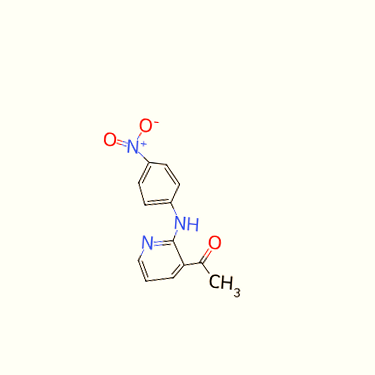 CC(=O)c1cccnc1Nc1ccc([N+](=O)[O-])cc1